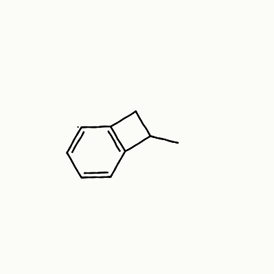 CC1Cc2[c]cccc21